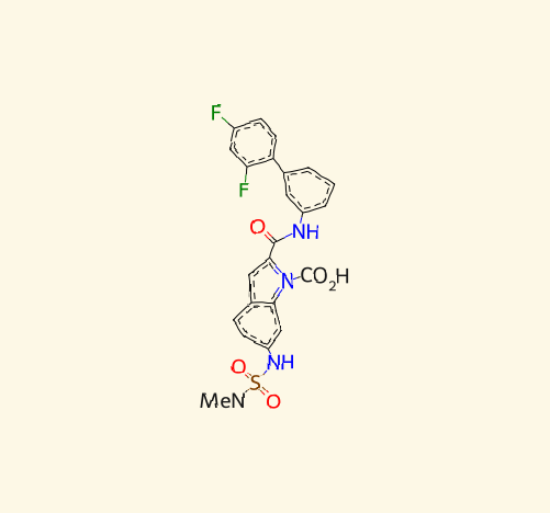 CNS(=O)(=O)Nc1ccc2cc(C(=O)Nc3cccc(-c4ccc(F)cc4F)c3)n(C(=O)O)c2c1